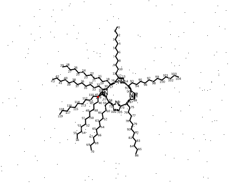 CCCCCCCCCCCCC1=Cc2nc1c(CCCCCCCCCCCC)c1c(CCCCCCCCCCCC)c(CCCCCCCCCCCC)c(c(CCCCCCCCCCCC)c3nc(c(CCCCCCCCCCCC)c4ccc([nH]4)c2CCCCCCCCCCCC)C=C3)n1CCCCCCCCCCCC